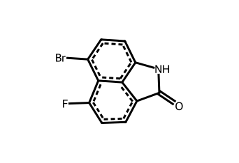 O=C1Nc2ccc(Br)c3c(F)ccc1c23